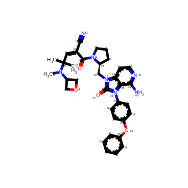 CN(C1COC1)C(C)(C)/C=C(/C#N)C(=O)N1CCC[C@H]1Cn1c(=O)n(-c2ccc(Oc3ccccc3)cc2)c2c(N)nccc21